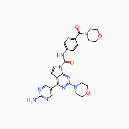 Nc1ncc(-c2nc(N3CCOCC3)nc3c2ccn3C(=O)Nc2ccc(C(=O)N3CCOCC3)cc2)cn1